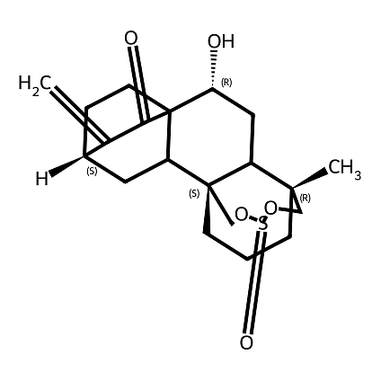 C=C1C(=O)C23CC[C@H]1CC2[C@@]12CCC[C@@](C)(COS(=O)OC1)C2C[C@H]3O